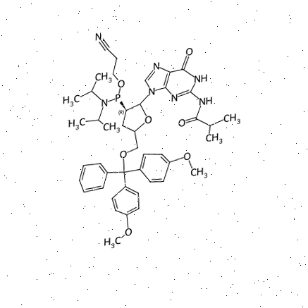 COc1ccc(C(OCC2C[C@@H](P(OCCC#N)N(C(C)C)C(C)C)C(n3cnc4c(=O)[nH]c(NC(=O)C(C)C)nc43)O2)(c2ccccc2)c2ccc(OC)cc2)cc1